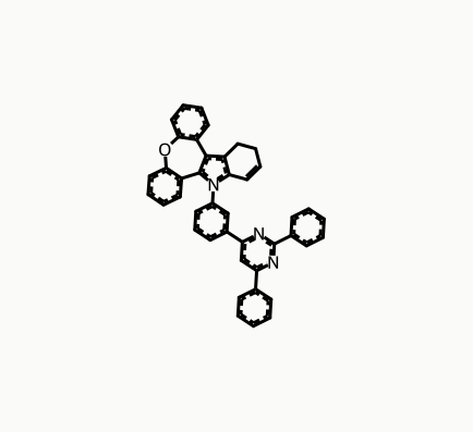 C1=Cc2c(c3c(n2-c2cccc(-c4cc(-c5ccccc5)nc(-c5ccccc5)n4)c2)-c2ccccc2Oc2ccccc2-3)CC1